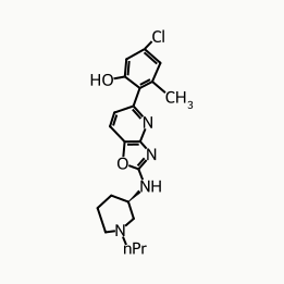 CCCN1CCC[C@@H](Nc2nc3nc(-c4c(C)cc(Cl)cc4O)ccc3o2)C1